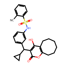 N#Cc1ccccc1S(=O)(=O)Nc1cccc(C(c2c(O)c3c(oc2=O)CCCCCC3)C2CC2)c1